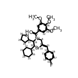 COc1cc(C(=O)N(CC(Br)=Cc2ccc(F)cc2)C(CC2CCCCC2)C2CCCN2)cc(OC)c1OC